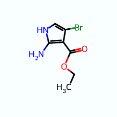 CCOC(=O)c1c(Br)c[nH]c1N